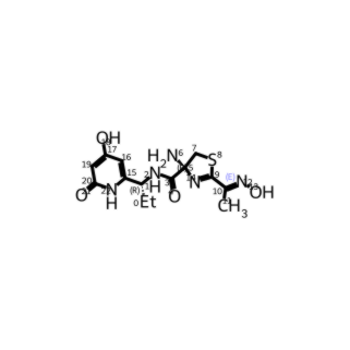 CC[C@@H](NC(=O)[C@]1(N)CSC(/C(C)=N/O)=N1)c1cc(O)cc(=O)[nH]1